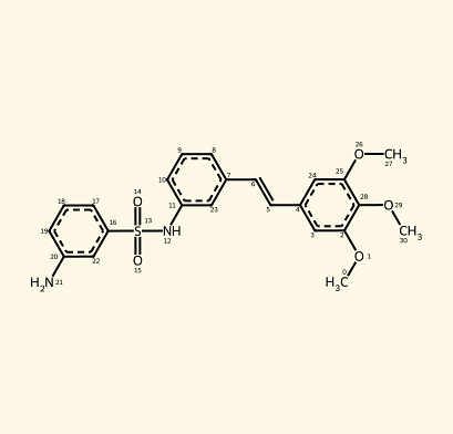 COc1cc(C=Cc2cccc(NS(=O)(=O)c3cccc(N)c3)c2)cc(OC)c1OC